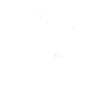 O=[N+]([O-])c1cnc2ccccc2c1NC[C@@H]1CCCO1